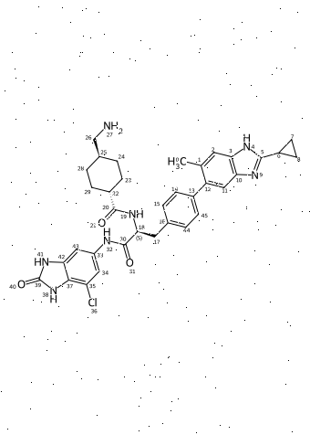 Cc1cc2[nH]c(C3CC3)nc2cc1-c1ccc(C[C@H](NC(=O)[C@H]2CC[C@H](CN)CC2)C(=O)Nc2cc(Cl)c3[nH]c(=O)[nH]c3c2)cc1